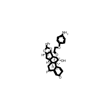 CCCC1O[C@@H]2C[C@@H]3C(C[C@H](O)[C@@]4(F)[C@H]3C[C@H](F)C3=CC(=O)C=C[C@@]34C)[C@]2(C(=O)COc2ccc(N)cc2)O1